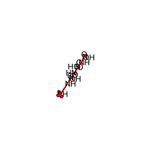 CC(=O)N(O)CCCCCNC(=O)CCC(=O)N(O)CCCCCNC(=O)CCC(=O)N(O)CCCCCNCCCCCCCCCC[PH](c1ccccc1)(c1ccccc1)c1ccccc1